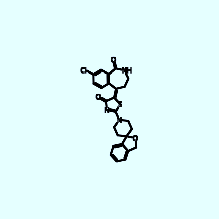 O=C1N=C(N2CCC3(CC2)OCc2ccccc23)S/C1=C1\CCNC(=O)c2cc(Cl)ccc21